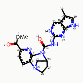 COC(=O)c1ccc2c(n1)N(C(=O)Nc1ncc3c(C)c[nH]c3n1)C1CCN2C1